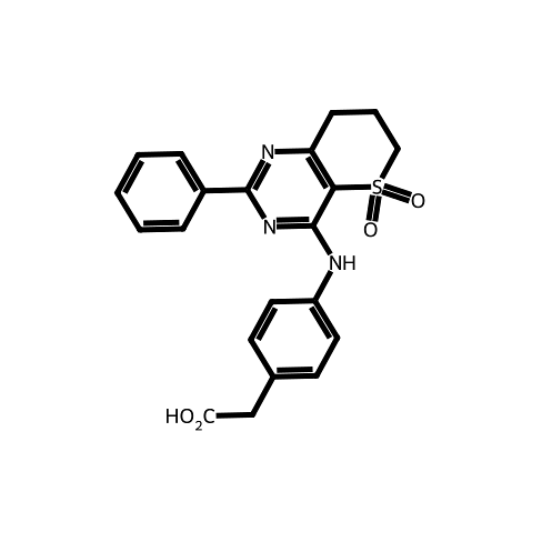 O=C(O)Cc1ccc(Nc2nc(-c3ccccc3)nc3c2S(=O)(=O)CCC3)cc1